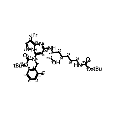 CC(C)c1cnn2c(N(Cc3ccccc3F)C(=O)OC(C)(C)C)cc(N[C@@H](CO)CCCCCNC(=O)OC(C)(C)C)nc12